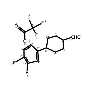 O=C(O)C(F)(F)F.O=CC1CCC(c2ccc(F)c(F)c2)CC1